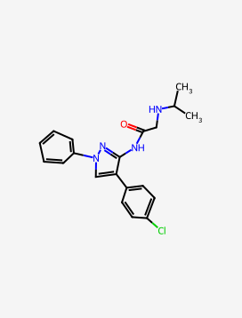 CC(C)NCC(=O)Nc1nn(-c2ccccc2)cc1-c1ccc(Cl)cc1